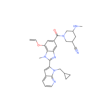 C=COc1cc(C(=O)N2CC(C#N)CC(NC)C2)cc2nc(-c3cc4cccnc4n3CC3CC3)n(C)c12